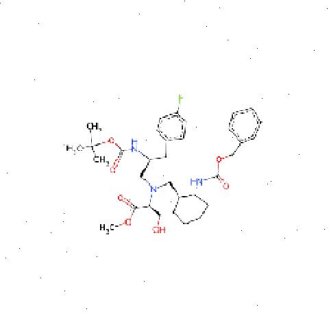 COC(=O)[C@H](CO)N(C[C@H](Cc1ccc(F)cc1)NC(=O)OC(C)(C)C)C[C@@H]1CCCC[C@H]1NC(=O)OCc1ccccc1